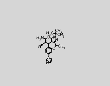 CC(C)c1nn(C(C)(C)C)c2c1C(c1ccc(-n3ccnc3)cc1)C(C#N)=C(N)O2